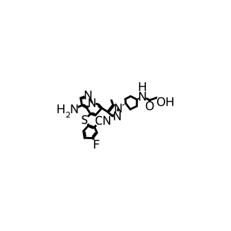 Cc1c(-c2cc(Sc3ccc(F)cc3C#N)c3c(N)cnn3c2)cnn1[C@H]1CC[C@H](NC(=O)CO)CC1